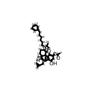 CC(=O)Oc1cc(O)c2c3c1O[C@H]1[C@H](N(CCCCCCc4ccccc4)C(C)C)CC[C@H]4[C@@H](C2)N(CC2CC2)CC[C@@]341